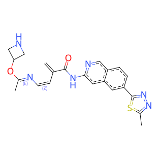 C=C(/C=C\N=C(/C)OC1CNC1)C(=O)Nc1cc2cc(-c3nnc(C)s3)ccc2cn1